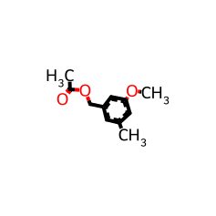 COc1cc(C)cc(COC(C)=O)c1